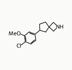 COc1cc(C2CCC3(CNC3)C2)ccc1Cl